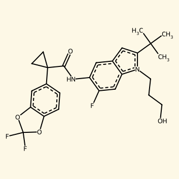 CC(C)(C)c1cc2cc(NC(=O)C3(c4ccc5c(c4)OC(F)(F)O5)CC3)c(F)cc2n1CCCO